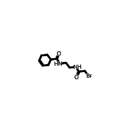 O=C(CBr)NCCNC(=O)C1CC=CCC1